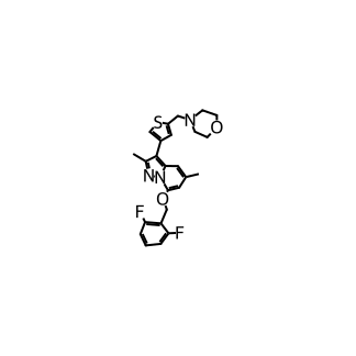 Cc1cc(OCc2c(F)cccc2F)n2nc(C)c(-c3csc(CN4CCOCC4)c3)c2c1